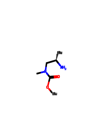 CN(C[C@@H](N)C(C)(C)C)C(=O)OC(C)(C)C